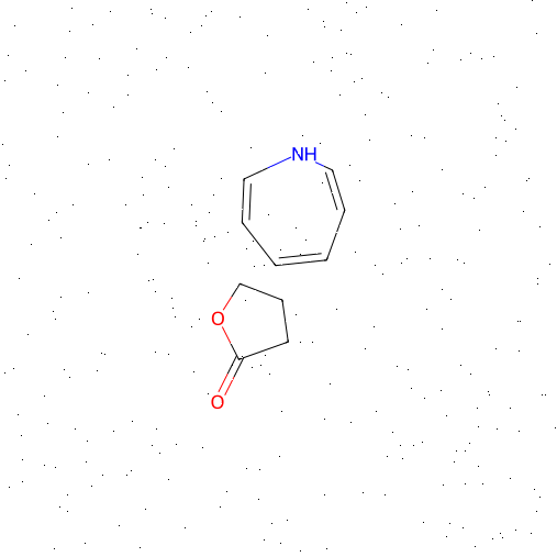 C1=CC=CNC=C1.O=C1CCCO1